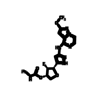 CC(C)NC(=O)O[C@H]1CO[C@@H](c2cc(Nc3nccn4nc(OC(F)(F)F)cc34)n[nH]2)[C@H]1F